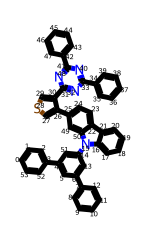 c1ccc(-c2cc(-c3ccccc3)cc(-n3c4ccccc4c4ccc(-c5cscc5-c5nc(-c6ccccc6)nc(-c6ccccc6)n5)cc43)c2)cc1